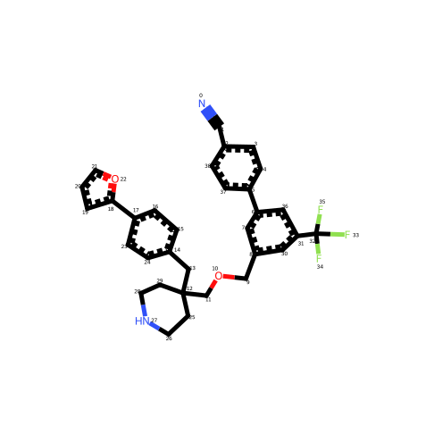 N#Cc1ccc(-c2cc(COCC3(Cc4ccc(-c5ccco5)cc4)CCNCC3)cc(C(F)(F)F)c2)cc1